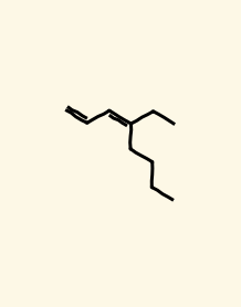 C=C/C=C(/CC)CCCC